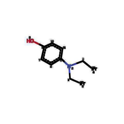 CC(C)CN(CC(C)C)c1ccc(O)cc1